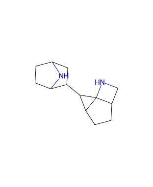 C1CC2NC1CC2C1C2CCC3CNC321